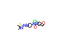 Cc1nc(NCC2CCC(NC(=O)C3=C(Cl)CC4OC=CC4=C3)CC2)sc1C